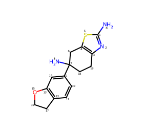 Nc1nc2c(s1)CC(N)(c1ccc3c(c1)OCC3)CC2